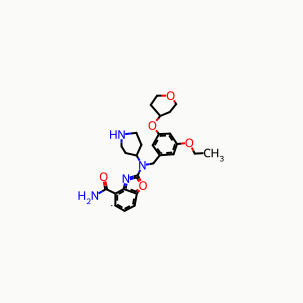 CCOc1cc(CN(c2nc3c(C(N)=O)[c]ccc3o2)C2CCNCC2)cc(OC2CCOCC2)c1